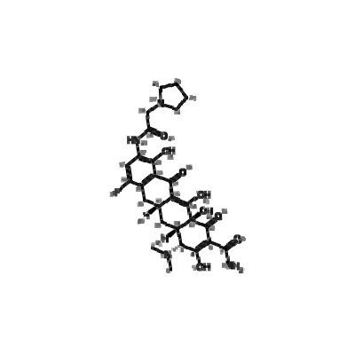 CN(C)[C@H]1C(O)=C(C(N)=O)C(=O)[C@@]2(O)C(O)=C3C(=O)c4c(O)c(NC(=O)CN5CCCC5)cc(F)c4C[C@H]3C[C@@H]12